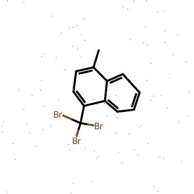 Cc1ccc(C(Br)(Br)Br)c2ccccc12